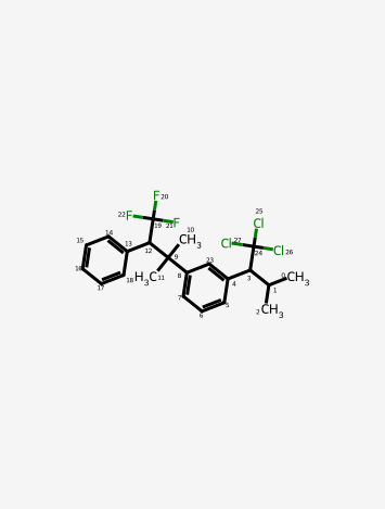 CC(C)C(c1cccc(C(C)(C)C(c2ccccc2)C(F)(F)F)c1)C(Cl)(Cl)Cl